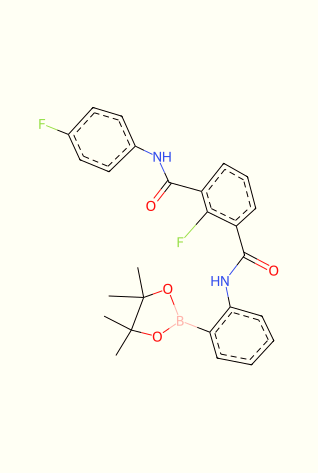 CC1(C)OB(c2ccccc2NC(=O)c2cccc(C(=O)Nc3ccc(F)cc3)c2F)OC1(C)C